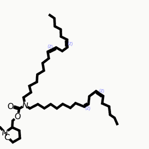 CCCCC/C=C\C/C=C\CCCCCCCCN(CCCCCCCC/C=C\C/C=C\CCCCC)C(=O)OCC1CCCCN1C